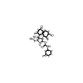 CC(C)(C)C[C@@H]1N[C@H](OC(=O)Nc2cccc(F)c2)[C@H](c2cccc(Cl)c2F)[C@@]1(C#N)c1ccc(Cl)cc1F